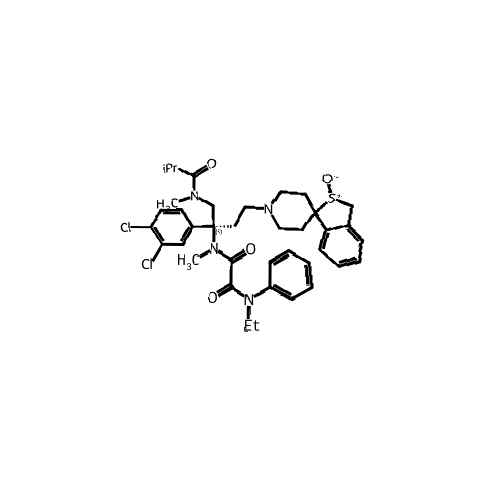 CCN(C(=O)C(=O)N(C)[C@](CCN1CCC2(CC1)c1ccccc1C[S+]2[O-])(CN(C)C(=O)C(C)C)c1ccc(Cl)c(Cl)c1)c1ccccc1